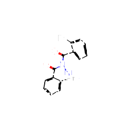 CCc1ccccc1C(=O)N(N)C(=O)c1ccccc1CC